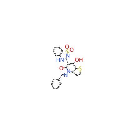 O=c1c(C2=NS(=O)(=O)c3ccccc3N2)c(O)c2sccc2n1N=Cc1ccccc1